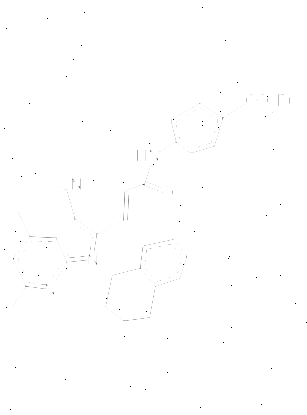 CCOC(=O)c1ccc(NC(=O)C=Cc2c(C#N)c3c(C)cc(C)nc3n2[C@H]2CCCc3ccccc32)cc1